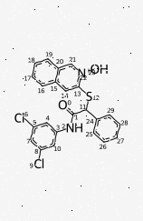 O=C(Nc1cc(Cl)cc(Cl)c1)C(Sc1cc2ccccc2c[n+]1O)c1ccccc1